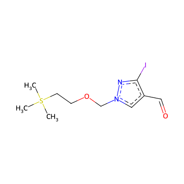 CS(C)(C)CCOCn1cc(C=O)c(I)n1